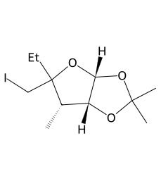 CCC1(CI)O[C@@H]2OC(C)(C)O[C@@H]2[C@@H]1C